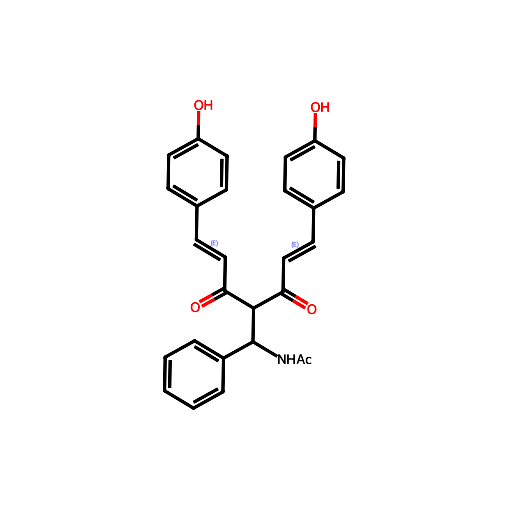 CC(=O)NC(c1ccccc1)C(C(=O)/C=C/c1ccc(O)cc1)C(=O)/C=C/c1ccc(O)cc1